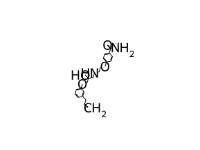 C=CCc1cccc(OCC(O)CNCCOc2ccc(C(N)=O)cc2)c1